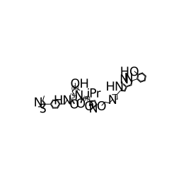 Cc1ncsc1-c1ccc(CNC(=O)[C@@H]2C[C@@H](O)CN2C(=O)[C@@H](c2cc(OCCN3CC(c4cc5cc(-c6ccccc6O)nnc5[nH]4)C3)no2)C(C)C)cc1